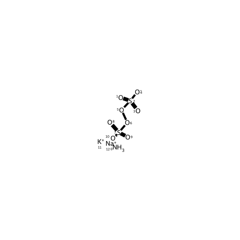 N.O=S(=O)([O-])OOS(=O)(=O)[O-].[K+].[Na+]